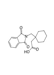 O=C(O)CC1(CN2C(=O)c3ccccc3C2=O)CCCCC1